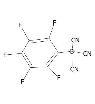 N#C[B-](C#N)(C#N)c1c(F)c(F)c(F)c(F)c1F